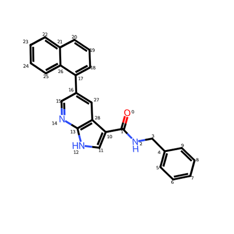 O=C(NCc1ccccc1)c1c[nH]c2ncc(-c3cccc4ccccc34)cc12